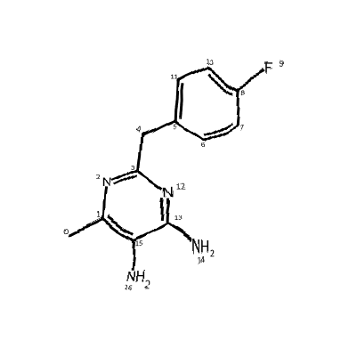 Cc1nc(Cc2ccc(F)cc2)nc(N)c1N